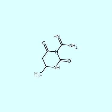 CC1CC(=O)N(C(=N)N)C(=O)N1